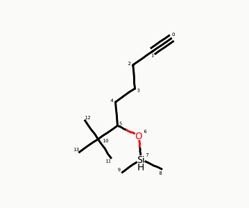 C#CCCCC(O[SiH](C)C)C(C)(C)C